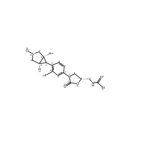 CCC(=O)NC[C@H]1CN(c2ccc(C3[C@H]4C[S+]([O-])C[C@@H]34)c(F)c2)C(=O)O1